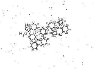 CC1(C)c2ccccc2-c2c(-c3cc(-c4cccc5c4sc4ccccc45)nc(-c4ccc5c(c4)C4(c6ccccc6Oc6ccccc64)c4ccccc4-5)n3)cccc21